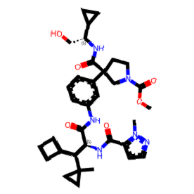 COC(=O)N1CCC(C(=O)N[C@H](CO)C2CC2)(c2cccc(NC(=O)[C@@H](NC(=O)c3ccnn3C)C(C3CCC3)C3(C)CC3)c2)C1